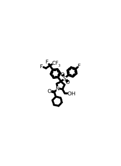 O=C(C1CCCCC1)N1CC(c2ccc(C(F)(CF)C(F)(F)F)cc2)(S(=O)(=O)c2ccc(F)cc2)CC1CO